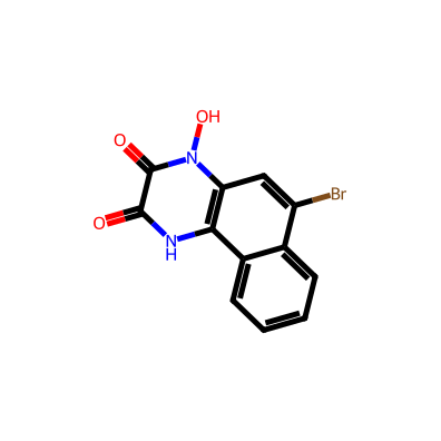 O=c1[nH]c2c3ccccc3c(Br)cc2n(O)c1=O